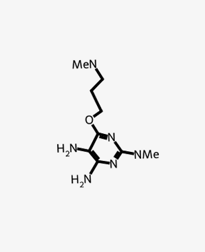 CNCCCOc1nc(NC)nc(N)c1N